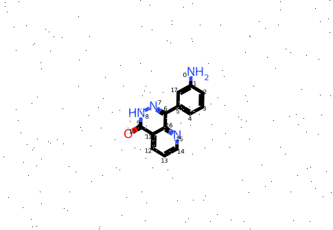 Nc1cccc(-c2n[nH]c(=O)c3cccnc23)c1